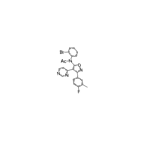 CC(=O)N(c1ccccc1Br)c1onc(-c2ccc(F)c(C)c2)c1-c1ccncn1